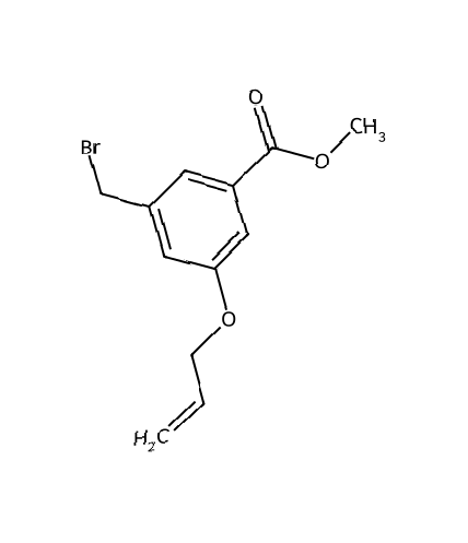 C=CCOc1cc(CBr)cc(C(=O)OC)c1